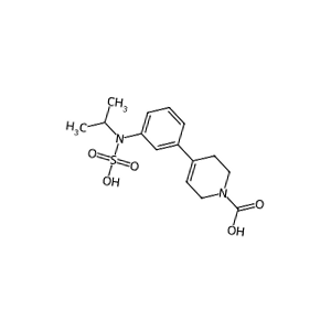 CC(C)N(c1cccc(C2=CCN(C(=O)O)CC2)c1)S(=O)(=O)O